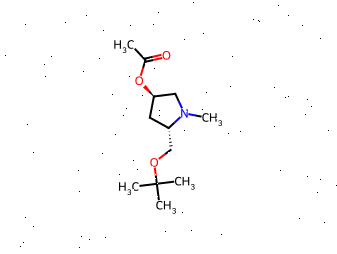 CC(=O)O[C@@H]1C[C@@H](COC(C)(C)C)N(C)C1